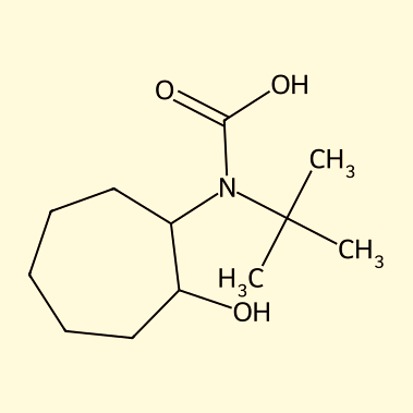 CC(C)(C)N(C(=O)O)C1CCCCCC1O